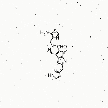 CN(Cc1ncsc1N)/N=C\c1c(C=O)n(C)c2nc(Cc3cc[nH]n3)sc12